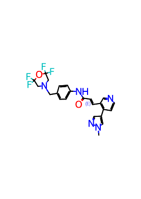 Cn1cc(-c2ccncc2/C=C/C(=O)Nc2ccc(CN3CC(F)(F)OC(F)(F)C3)cc2)cn1